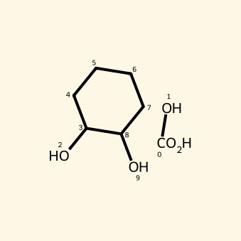 O=C(O)O.OC1CCCCC1O